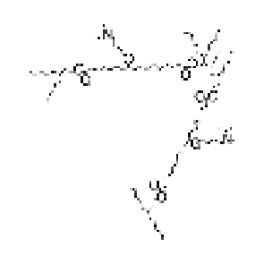 CCCCCC(CCCCC)CCOC(=O)CCCCCCCCC(CCCCCCC(=O)OCCC(CCCCC)CC(CCC)C(COC(=O)CCCCCCCCC(CCCCCCC(=O)OCCC(CCCCC)CCCCC)OCCCCN(CC)CC)C(CCCCC)CCCCC)OCCCCN(C)C(C)C